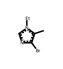 CCn1cnc(Br)c1C